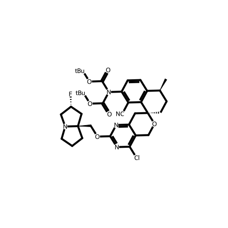 C[C@H]1CC[C@]2(Cc3nc(OC[C@@]45CCCN4C[C@H](F)C5)nc(Cl)c3CO2)c2c1ccc(N(C(=O)OC(C)(C)C)C(=O)OC(C)(C)C)c2C#N